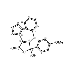 COc1ccc(C2(O)OC(=O)C(c3cccs3)=C2Cc2ccccc2)cc1